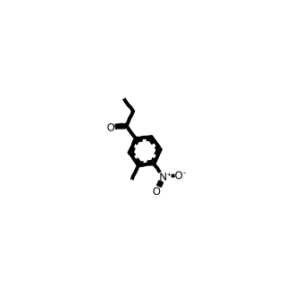 CCC(=O)c1ccc([N+](=O)[O-])c(C)c1